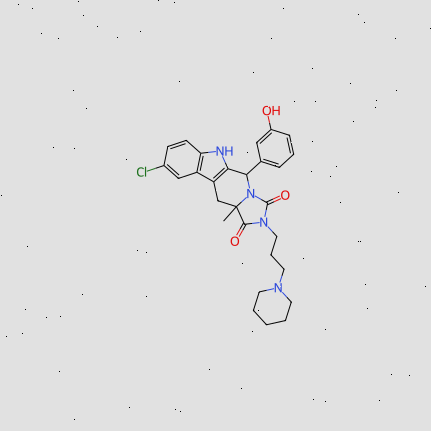 CC12Cc3c([nH]c4ccc(Cl)cc34)C(c3cccc(O)c3)N1C(=O)N(CCCN1CCCCC1)C2=O